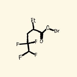 CCC(CC(F)(F)C(F)F)C(=O)OBr